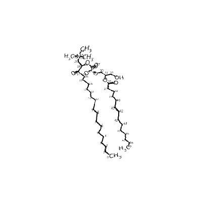 CCCCCCCCCCCCCCCCCC(=O)C(C[N+](C)(C)C)OP(=O)([O-])OC[C@@H](CO)OC(=O)CCCCCCCCCCCCC